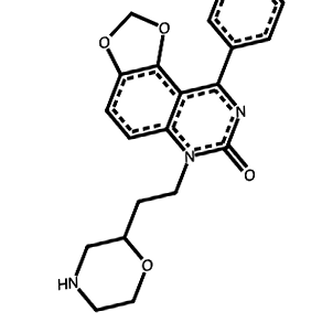 O=c1nc(-c2ccccc2)c2c3c(ccc2n1CCC1CNCCO1)OCO3